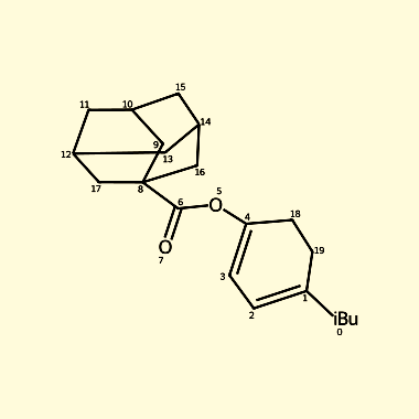 CCC(C)C1=CC=C(OC(=O)C23CC4CC(CC(C4)C2)C3)CC1